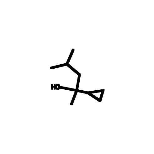 CC(C)CC(C)(O)C1CC1